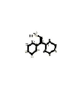 CCCC=C(C1CCCCC1)C1CCCCC1